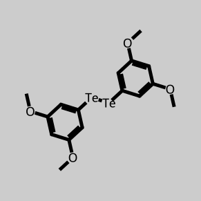 COc1cc(OC)cc([Te][Te]c2cc(OC)cc(OC)c2)c1